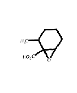 CC1CCCC2OC12C(=O)O